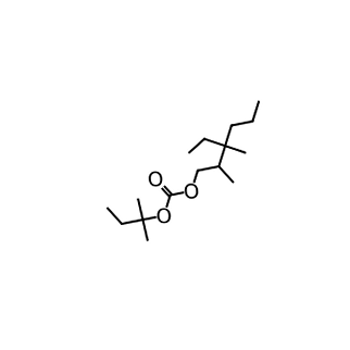 CCCC(C)(CC)C(C)COC(=O)OC(C)(C)CC